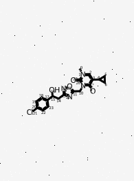 Cn1cc(C2CC2)c(=O)n(Cc2nc(CC(O)c3ccc(Cl)cc3)no2)c1=O